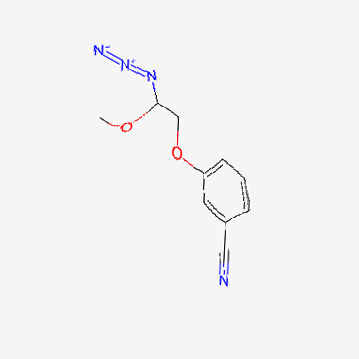 COC(COc1cccc(C#N)c1)N=[N+]=[N-]